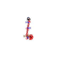 COC(=O)[C@H]1O[C@@H](Oc2cn(C(C)=O)c3cc(Br)c(OCCOCCOCCOC(=O)NCCOCCOCCNC(=O)OC[C@@H]4[C@@H]5CC/C=C\CC[C@@H]54)c(Br)c23)[C@H](OC(C)=O)[C@@H](OC(C)=O)[C@@H]1OC(C)=O